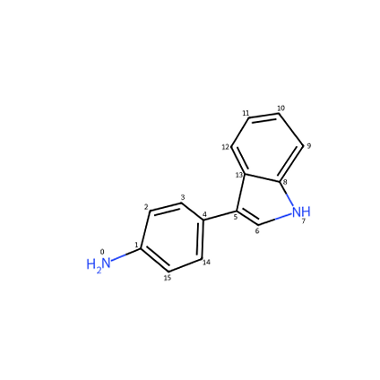 Nc1ccc(-c2c[nH]c3ccccc23)cc1